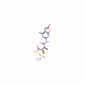 Cc1cc2c(C)nc(NC(=O)c3csc(S(N)(=O)=O)c3C(=O)O)nc2o1